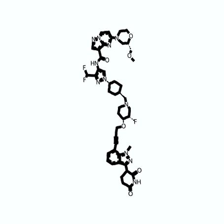 COC[C@@H]1CN(c2ccn3ncc(C(=O)Nc4cn([C@H]5CC[C@H](CN6CC[C@@H](OCC#Cc7cccc8c(C9CCC(=O)NC9=O)nn(C)c78)[C@@H](F)C6)CC5)nc4C(F)F)c3n2)CCO1